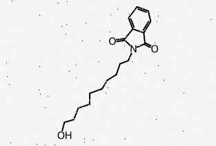 O=C1c2ccccc2C(=O)N1CCCCCCCCCCO